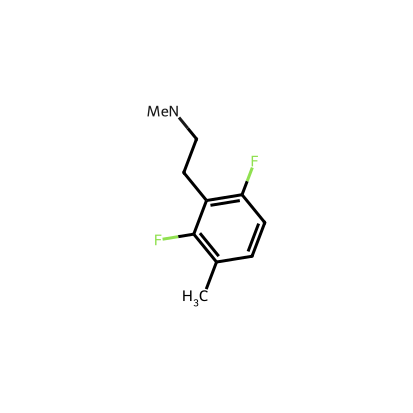 CNCCc1c(F)ccc(C)c1F